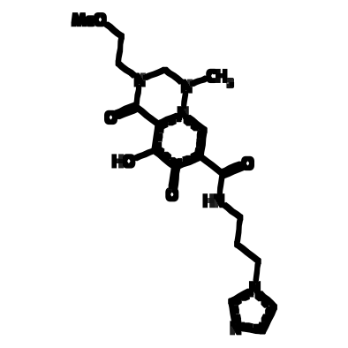 COCCN1CN(C)n2cc(C(=O)NCCCn3ccnc3)c(=O)c(O)c2C1=O